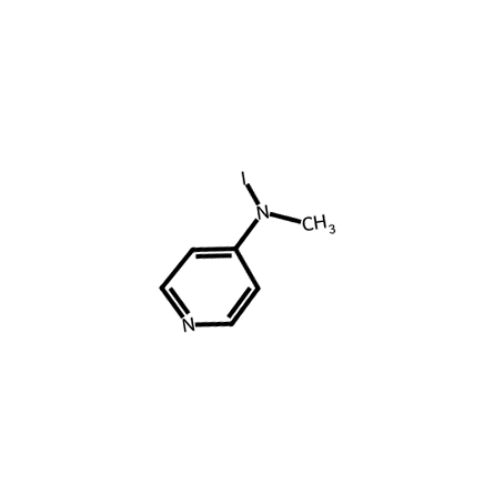 CN(I)c1ccncc1